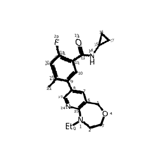 CCN1CCOCc2cc(-c3cc(C(=O)NC4CC4)c(F)cc3C)cnc21